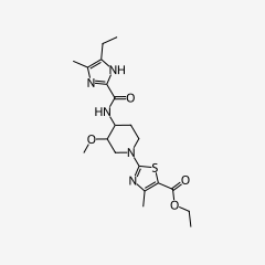 CCOC(=O)c1sc(N2CCC(NC(=O)c3nc(C)c(CC)[nH]3)C(OC)C2)nc1C